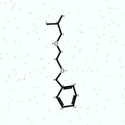 CC(C)COCCOCc1cc[c]cc1